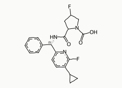 O=C(N[C@@H](c1ccccc1)c1ccc(C2CC2)c(F)n1)C1CC(F)CN1C(=O)O